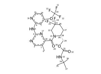 Cc1cnc(Nc2cc(OC(F)(F)F)ccn2)nc1C(=O)N1CC(F)(F)CC[C@@H]1COC(=O)NC(C)(C)C